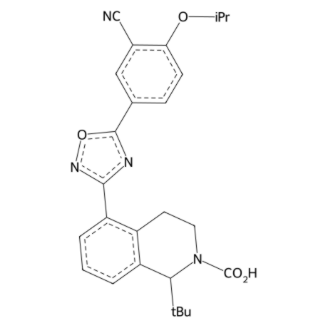 CC(C)Oc1ccc(-c2nc(-c3cccc4c3CCN(C(=O)O)C4C(C)(C)C)no2)cc1C#N